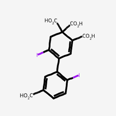 O=C(O)C1=CC(c2cc(C(=O)O)ccc2I)=C(I)CC1(C(=O)O)C(=O)O